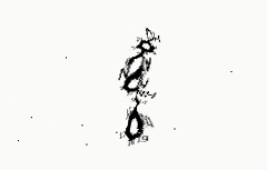 Oc1ccc(-c2cnc3ccc(NCCc4ccccc4)nc3n2)cc1